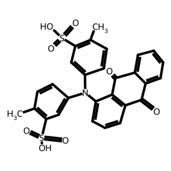 Cc1ccc(N(c2ccc(C)c(S(=O)(=O)O)c2)c2cccc3c2C(=O)c2ccccc2C3=O)cc1S(=O)(=O)O